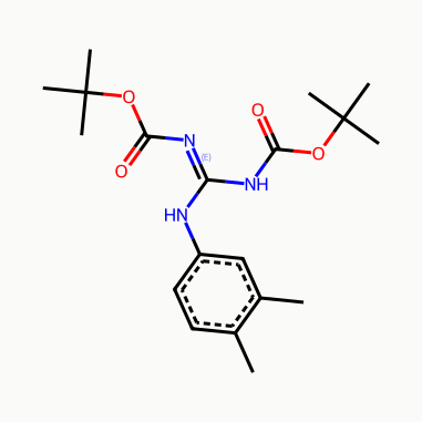 Cc1ccc(N/C(=N\C(=O)OC(C)(C)C)NC(=O)OC(C)(C)C)cc1C